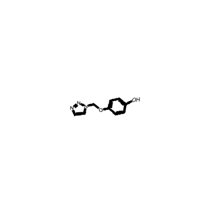 Oc1ccc(OCn2ccnn2)cc1